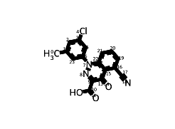 Cc1cc(Cl)cc(-n2nc(C(=O)O)c(=O)c3c(C#N)cccc32)c1